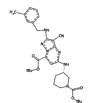 Cc1cccc(CNc2nn3c(C(=O)OC(C)(C)C)cc(N[C@H]4CCCN(C(=O)OC(C)(C)C)C4)nc3c2C#N)c1